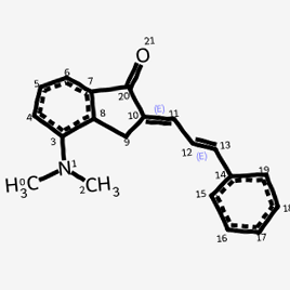 CN(C)c1cccc2c1C/C(=C\C=C\c1ccccc1)C2=O